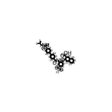 CC(C)CNS(=O)(=O)c1ccc(-c2ccc(C(=O)Nc3cc(S(C)(=O)=O)ccc3Oc3cc4ccccc4cc3C(=O)O)cc2)cc1